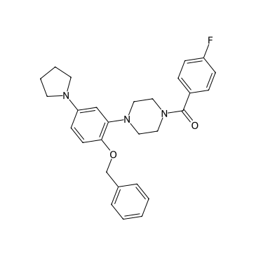 O=C(c1ccc(F)cc1)N1CCN(c2cc(N3CCCC3)ccc2OCc2ccccc2)CC1